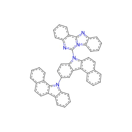 c1ccc2c(c1)ccc1c2c2cc(-n3c4ccccc4c4ccc5ccccc5c43)ccc2n1-c1nc2ccccc2c2nc3ccccc3n12